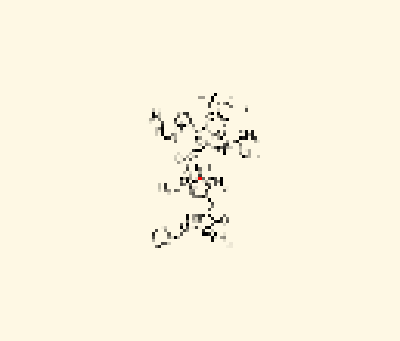 COC(=O)[C@H](C)NP(=O)(OC[C@@]1(C#N)O[C@@H](c2ccc3c(N)ncnn23)[C@H](OC(=O)C(C)C)[C@@H]1OC(=O)C(C)C)Oc1ccc(C[C@H](NC(=O)OCc2ccccc2)C(=O)OC)cc1